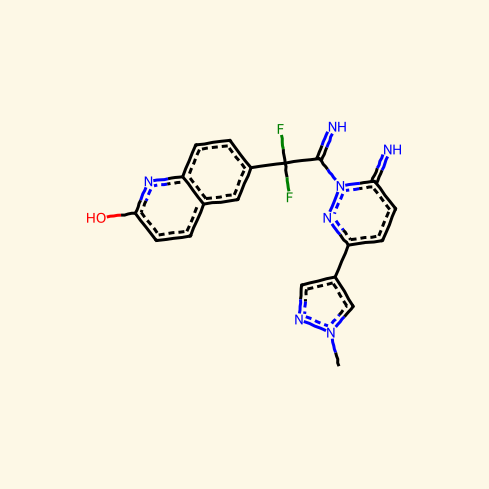 Cn1cc(-c2ccc(=N)n(C(=N)C(F)(F)c3ccc4nc(O)ccc4c3)n2)cn1